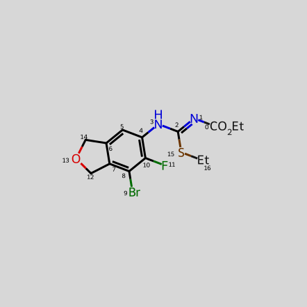 CCOC(=O)/N=C(/Nc1cc2c(c(Br)c1F)COC2)SCC